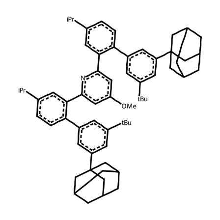 COc1cc(-c2cc(C(C)C)ccc2-c2cc(C(C)(C)C)cc(C34CC5CC(CC(C5)C3)C4)c2)nc(-c2cc(C(C)C)ccc2-c2cc(C(C)(C)C)cc(C34CC5CC(CC(C5)C3)C4)c2)c1